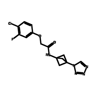 O=C(COc1ccc(Cl)c(F)c1)NC12CC(n3cnnn3)(C1)C2